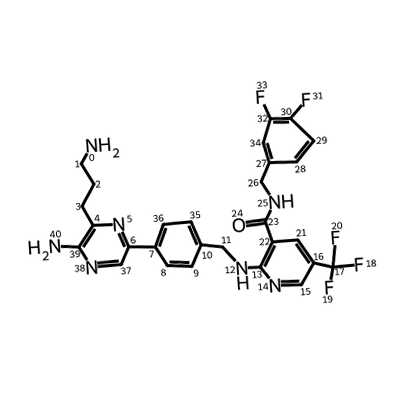 NCCCc1nc(-c2ccc(CNc3ncc(C(F)(F)F)cc3C(=O)NCc3ccc(F)c(F)c3)cc2)cnc1N